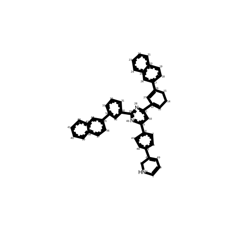 C1=CNCC(c2ccc(-c3cc(C4=CCCC(c5ccc6ccccc6c5)=C4)nc(-c4cccc(-c5ccc6ccccc6c5)c4)n3)cc2)=C1